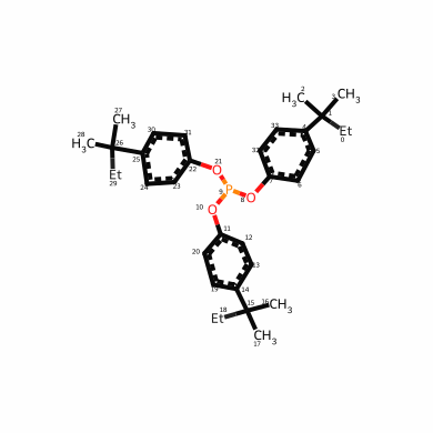 CCC(C)(C)c1ccc(OP(Oc2ccc(C(C)(C)CC)cc2)Oc2ccc(C(C)(C)CC)cc2)cc1